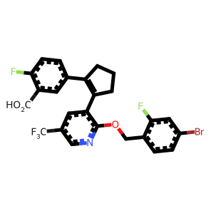 O=C(O)c1cc(C2=C(c3cc(C(F)(F)F)cnc3OCc3ccc(Br)cc3F)CCC2)ccc1F